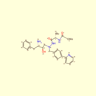 COC(=O)N[C@H](C(=O)NN(Cc1ccc(-c2ccccn2)cc1)C[C@@H](O)[C@@H](N)Cc1ccccc1)C(C)(C)C